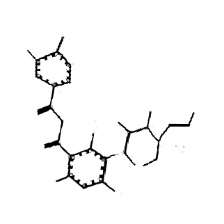 O=C(CC(=O)c1c(O)cc(O)c([C@@H]2OC[C@](O)(CCO)C(O)C2O)c1O)c1ccc(O)c(O)c1